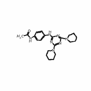 CC(=O)Nc1ccc(Nc2nc(N3CCCCC3)nc(N3CCCCC3)n2)cc1